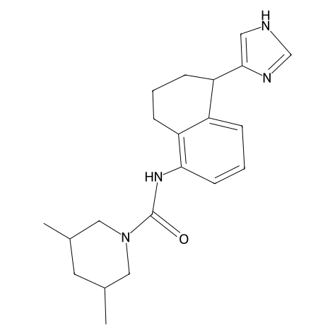 CC1CC(C)CN(C(=O)Nc2cccc3c2CCCC3c2c[nH]cn2)C1